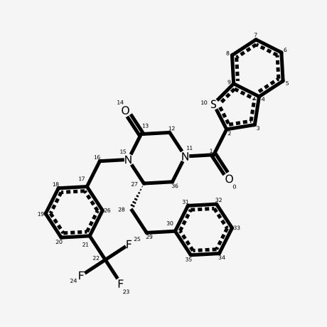 O=C(c1cc2ccccc2s1)N1CC(=O)N(Cc2cccc(C(F)(F)F)c2)[C@@H](CCc2ccccc2)C1